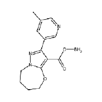 BOC(=O)c1c(-c2cncc(C)c2)nn2c1OCCCC2